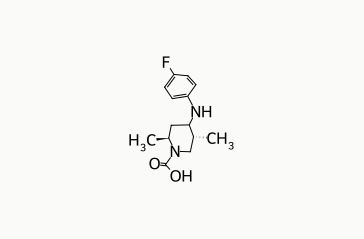 C[C@@H]1CN(C(=O)O)[C@@H](C)CC1Nc1ccc(F)cc1